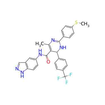 CSc1ccc(C2=NC(C)=C(C(=O)Nc3ccc4[nH]ncc4c3)C(c3ccc(C(F)(F)F)cc3)N2)cc1